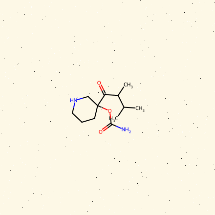 CC(C)C(C)C(=O)C1(OC(N)=O)CCCNC1